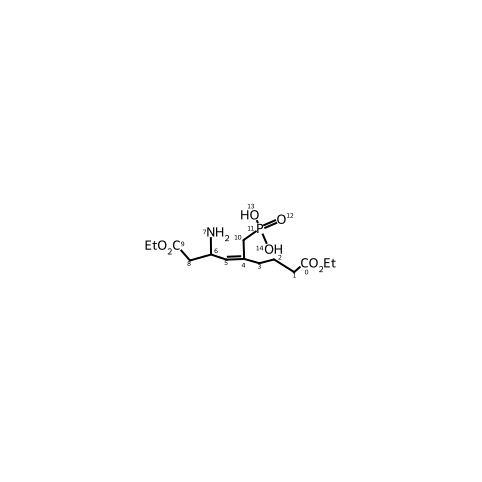 CCOC(=O)CCC/C(=C/C(N)CC(=O)OCC)CP(=O)(O)O